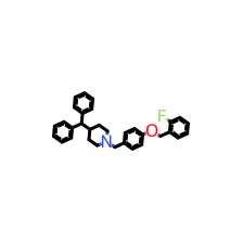 Fc1ccccc1COc1ccc(CN2CCC(C(c3ccccc3)c3ccccc3)CC2)cc1